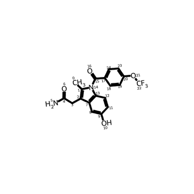 Cc1c(CC(N)=O)c2cc(O)ccc2n1C(=O)c1ccc(OC(F)(F)F)cc1